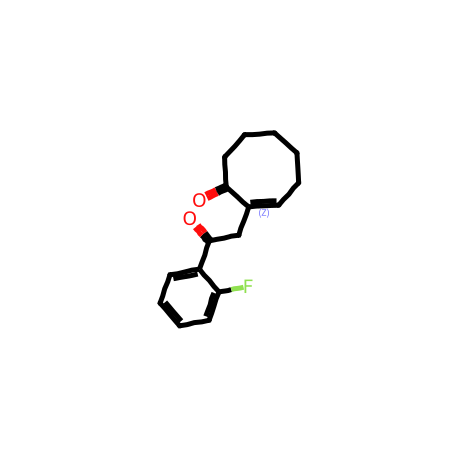 O=C1CCCCC/C=C\1CC(=O)c1ccccc1F